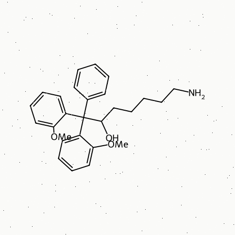 COc1ccccc1C(c1ccccc1)(c1ccccc1OC)C(O)CCCCCN